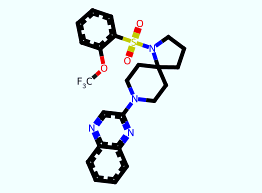 O=S(=O)(c1ccccc1OC(F)(F)F)N1CCCC12CCN(c1cnc3ccccc3n1)CC2